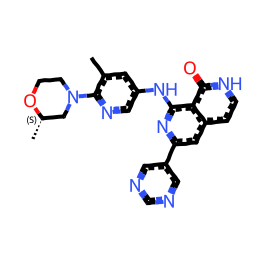 Cc1cc(Nc2nc(-c3cncnc3)cc3cc[nH]c(=O)c23)cnc1N1CCO[C@@H](C)C1